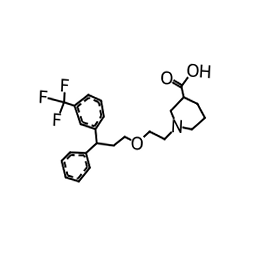 O=C(O)C1CCCN(CCOCCC(c2ccccc2)c2cccc(C(F)(F)F)c2)C1